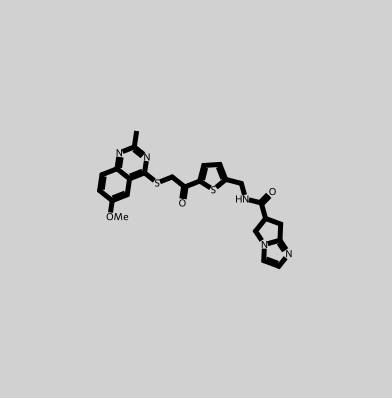 COc1ccc2nc(C)nc(SCC(=O)c3ccc(CNC(=O)C4Cc5nccn5C4)s3)c2c1